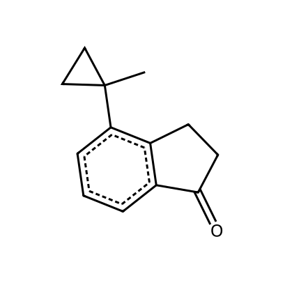 CC1(c2cccc3c2CCC3=O)CC1